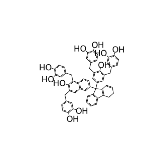 Oc1ccc(Cc2cc(C3(c4ccc5c(Cc6ccc(O)c(O)c6)c(O)c(Cc6ccc(O)c(O)c6)cc5c4)C4=C(CCC=C4)c4ccccc43)cc(Cc3ccc(O)c(O)c3)c2O)cc1O